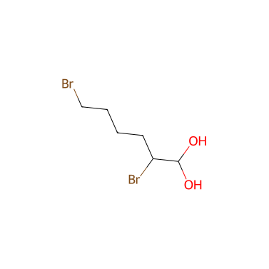 OC(O)C(Br)CCCCBr